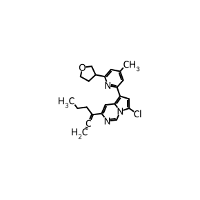 C=C=C(CCC)c1cc2c(-c3cc(C)cc(C4CCOC4)n3)cc(Cl)n2cn1